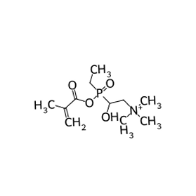 C=C(C)C(=O)OP(=O)(CC)C(O)C[N+](C)(C)C